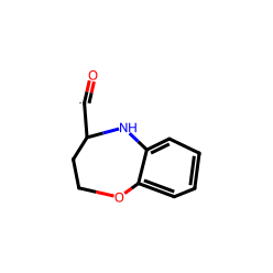 O=[C]C1CCOc2ccccc2N1